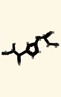 CON(C)C(=O)c1nsc(NC(=O)OC(C)(C)C)n1